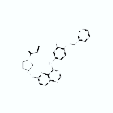 C=CC(=O)N1CC[C@H](Oc2ccc3ncnc(Nc4ccc(OCc5cccnn5)c(Cl)c4)c3n2)C1